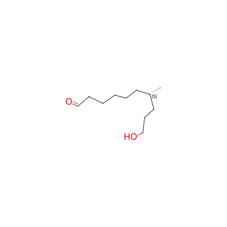 C[C@H](CCCO)CCCCCC=O